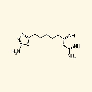 N=C(N)SC(=N)CCCCCc1nnc(N)s1